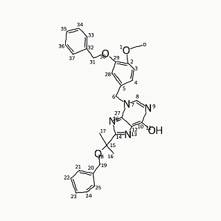 COc1ccc(Cn2cnc(O)c3nc(C(C)(C)OCc4ccccc4)nc2-3)cc1OCc1ccccc1